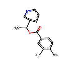 Cc1cc(C(=O)OC(C)c2cccnc2)ccc1C(C)(C)C